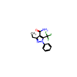 CCc1nn(-c2ccccc2)c(C(F)(F)F)c1C(N)=O